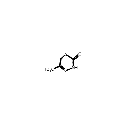 O=C1NN=C(C(=O)O)CS1